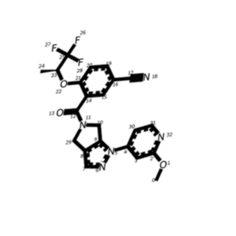 COc1cc(-n2ncc3c2CN(C(=O)c2cc(C#N)ccc2O[C@@H](C)C(F)(F)F)C3)ccn1